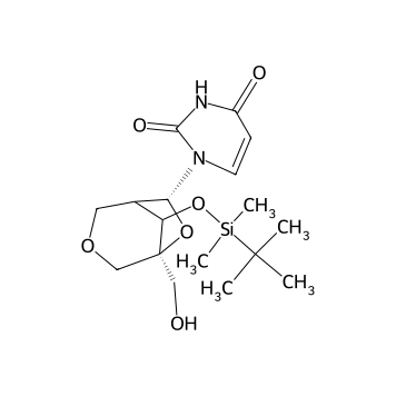 CC(C)(C)[Si](C)(C)OC1C2COC[C@]1(CO)O[C@H]2n1ccc(=O)[nH]c1=O